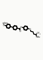 CCCCCCCCCCOc1ccc(-c2ccc(C(=O)Oc3ccc(OCCCC(CCCC)C(F)(F)F)cc3)cc2)cc1